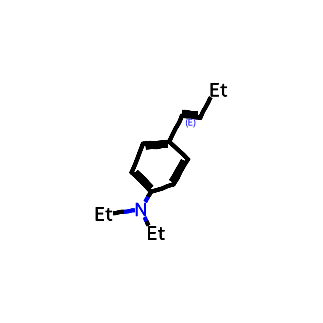 CC/C=C/c1ccc(N(CC)CC)cc1